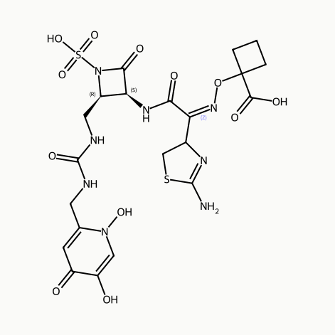 NC1=NC(/C(=N/OC2(C(=O)O)CCC2)C(=O)N[C@@H]2C(=O)N(S(=O)(=O)O)[C@@H]2CNC(=O)NCc2cc(=O)c(O)cn2O)CS1